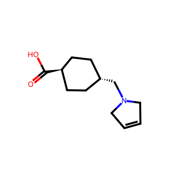 O=C(O)[C@H]1CC[C@H](CN2CC=CC2)CC1